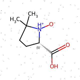 CC1(C)CC[C@@H](C(=O)O)[NH+]1[O-]